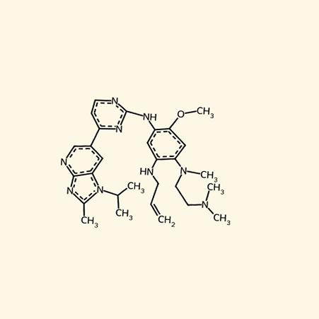 C=CCNc1cc(Nc2nccc(-c3cnc4nc(C)n(C(C)C)c4c3)n2)c(OC)cc1N(C)CCN(C)C